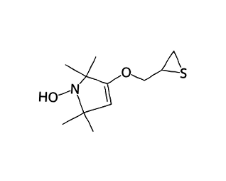 CC1(C)C=C(OCC2CS2)C(C)(C)N1O